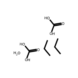 CCC.CCC.O.O=C(O)O.O=C(O)O